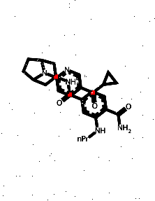 CCCNc1cc(C(=O)NC2CC3CCC(C2)N3c2ccc(C(=O)C3CC3)cn2)ccc1C(N)=O